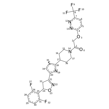 O=C(COc1ccc(C(F)(F)F)nn1)N1CCC(c2nc(C3=NOC(c4c(F)cccc4F)C3)cs2)CC1